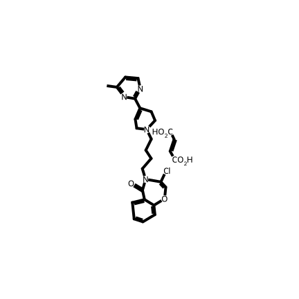 Cc1ccnc(C2=CCN(CCCCN3C(=O)c4ccccc4OC=C3Cl)CC2)n1.O=C(O)C=CC(=O)O